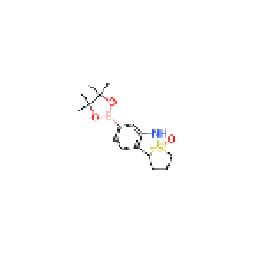 CC1(C)OB(c2ccc3c(c2)N[SH]2(=O)CCCC32)OC1(C)C